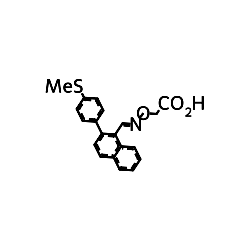 CSc1ccc(-c2ccc3ccccc3c2C=NOCC(=O)O)cc1